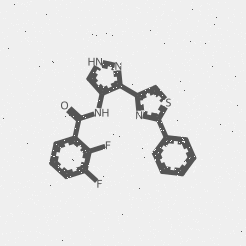 O=C(Nc1c[nH]nc1-c1csc(-c2ccccc2)n1)c1cccc(F)c1F